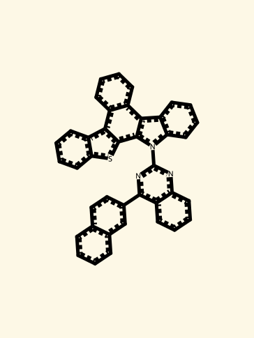 c1ccc2cc(-c3nc(-n4c5ccccc5c5c6ccccc6c6c7ccccc7sc6c54)nc4ccccc34)ccc2c1